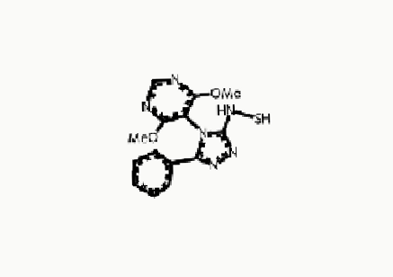 COc1ncnc(OC)c1-n1c(NS)nnc1-c1ccccc1